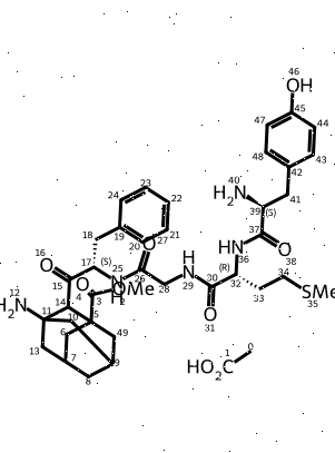 CC(=O)O.COC(=O)C12CC3CC(CC(N)(C3)C1C(=O)[C@H](Cc1ccccc1)NC(=O)CNC(=O)[C@@H](CCSC)NC(=O)[C@@H](N)Cc1ccc(O)cc1)C2